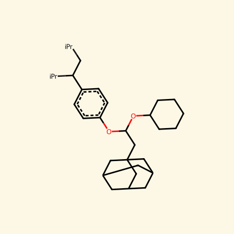 CC(C)CC(c1ccc(OC(CC23CC4CC(CC(C4)C2)C3)OC2CCCCC2)cc1)C(C)C